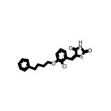 O=C1NC(=O)/C(=C\c2cccc(OCCCCc3ccccc3)c2Cl)S1